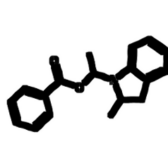 CC1Cc2ccccc2N1C(C)OC(=O)c1ccccc1